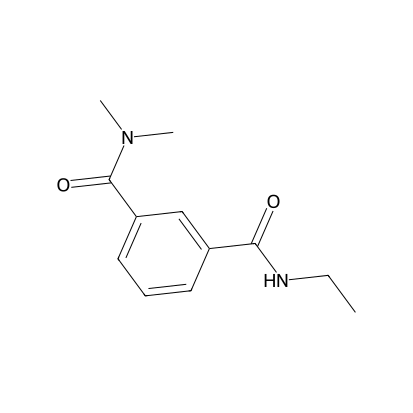 CCNC(=O)c1cccc(C(=O)N(C)C)c1